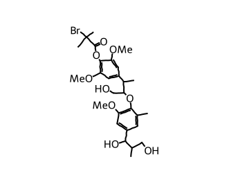 COc1cc(C(O)C(C)CO)cc(C)c1OC(CO)C(C)c1cc(OC)c(OC(=O)C(C)(C)Br)c(OC)c1